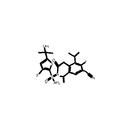 CC(C)c1cc(C#N)c(F)c(C(C)C)c1CC(=O)N=S(N)(=O)c1sc(C(C)(C)O)cc1F